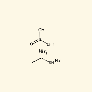 CCS.O=S(O)O.[NH2-].[Na+]